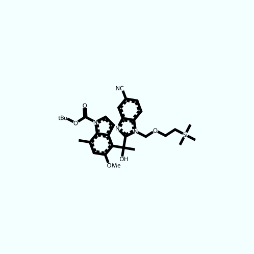 COc1cc(C)c2c(ccn2C(=O)OC(C)(C)C)c1C(C)(O)c1nc2cc(C#N)ccc2n1COCC[Si](C)(C)C